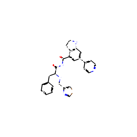 O=C(NC(=O)C(Cc1ccccc1)NCc1cscn1)c1cc(-c2ccncc2)cc2c1CCN2